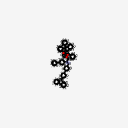 C1=C(/C(=C\c2ccc(-c3ccc(-n4c5ccccc5c5ccccc54)cc3)cc2)Cc2ccc(-c3cccc4c3C3(c5ccccc5-4)c4ccccc4-c4c3ccc3sc5ccccc5c43)cc2)CCC(c2ccccc2)=C1